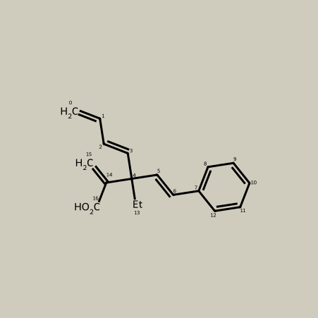 C=CC=CC(C=Cc1ccccc1)(CC)C(=C)C(=O)O